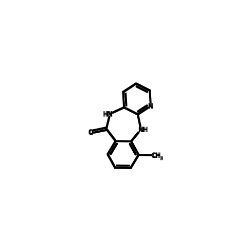 Cc1cccc2c1Nc1ncccc1NC2=O